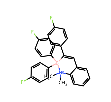 C[N+]1(C)c2ccccc2C=C(c2ccc(F)cc2)[B-]1(c1ccc(F)cc1)c1ccc(F)cc1